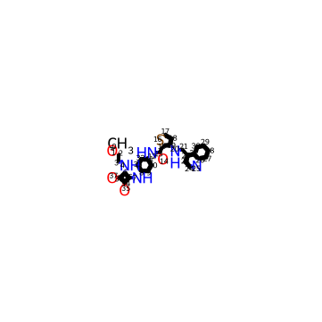 COCCNc1c(Nc2ccc(NC(=O)c3sccc3NCc3ccnc4ccccc34)cc2)c(=O)c1=O